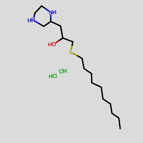 CCCCCCCCCCSCC(O)CC1CNCCN1.Cl.Cl